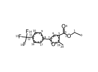 CCOC(=O)c1cc(-c2ccc(C(F)(F)F)cc2)oc1C